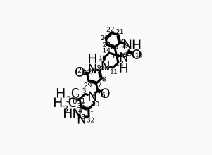 CC1(C)CN(C(=O)c2cc(N3CCC4(CC3)NC(=O)Nc3ccccc34)[nH]c(=O)c2)Cc2cn[nH]c21